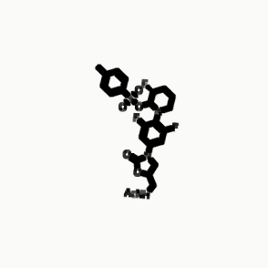 CC(=O)NCC1CN(c2cc(F)c(N3CCC[C@H](F)C3OS(=O)(=O)c3ccc(C)cc3)c(F)c2)C(=O)O1